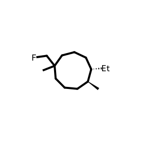 CC[C@H]1CCCC(C)(CF)CCC[C@@H]1C